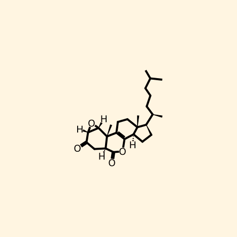 CC(C)CCC[C@@H](C)[C@H]1CC[C@H]2C3=C(CC[C@]12C)[C@]1(C)[C@H](CC(=O)[C@@H]2O[C@@H]21)C(=O)O3